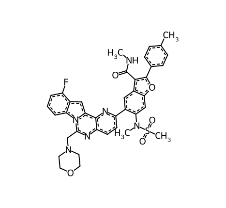 CNC(=O)c1c(-c2ccc(C)cc2)oc2cc(N(C)S(C)(=O)=O)c(-c3ccc4nc(CN5CCOCC5)n5c6cccc(F)c6cc5c4n3)cc12